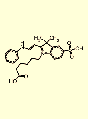 CC1(C)C(C=CNc2ccccc2)=[N+](CCCCCC(=O)O)c2ccc(S(=O)(=O)O)cc21